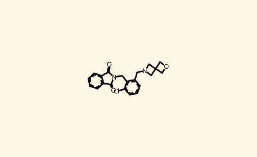 O=C1c2ccccc2C(=O)N1Cc1c(Cl)cccc1CN1CC2(COC2)C1